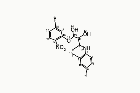 CC(Nc1ccc(I)cc1F)C(O)C(O)Oc1cc(F)ccc1[N+](=O)[O-]